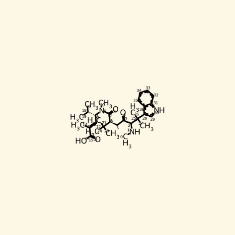 CNC(C(=O)C[C@H](C(=O)N(C)[C@H](/C=C(\C)C(=O)O)C(C)C)C(C)(C)C)C(C)(C)c1c[nH]c2ccccc12